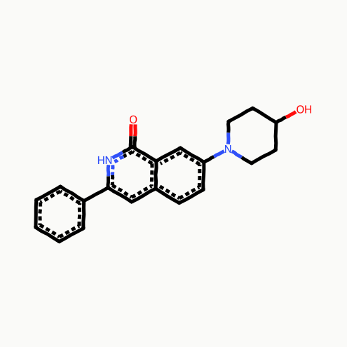 O=c1[nH]c(-c2ccccc2)cc2ccc(N3CCC(O)CC3)cc12